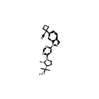 C[C@@H]1[C@H](C(C)(C)O)CCN1c1cc(-n2ncc3ccc(C4(C#N)CCC4)cc32)ncn1